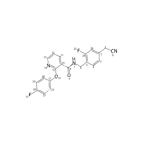 N#CCc1ccc(CNC(=O)c2cccnc2Oc2ccc(F)cc2)c(F)c1